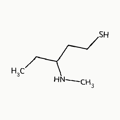 CCC(CCS)NC